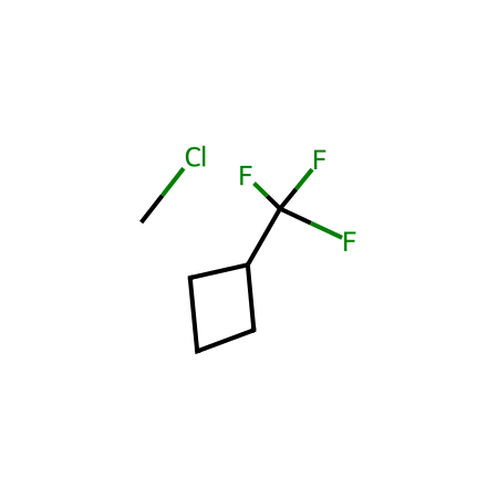 CCl.FC(F)(F)C1CCC1